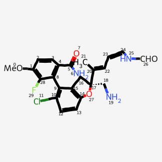 COc1ccc(C(N)=O)c(-c2c(Cl)ccc3c2C[C@@](CN)(/C(C)=C/C=C\NC=O)O3)c1F